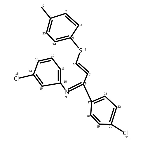 Cc1ccc(SC=CC(=Nc2cccc(Cl)c2)c2ccc(Cl)cc2)cc1